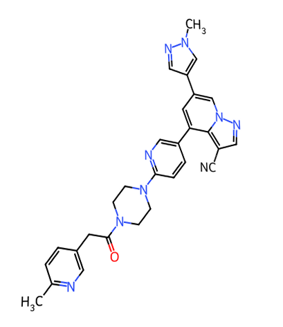 Cc1ccc(CC(=O)N2CCN(c3ccc(-c4cc(-c5cnn(C)c5)cn5ncc(C#N)c45)cn3)CC2)cn1